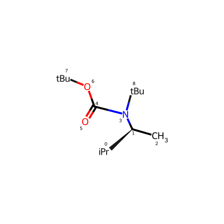 CC(C)[C@H](C)N(C(=O)OC(C)(C)C)C(C)(C)C